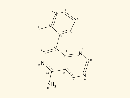 Cc1ncccc1-c1cnc(N)c2cncnc12